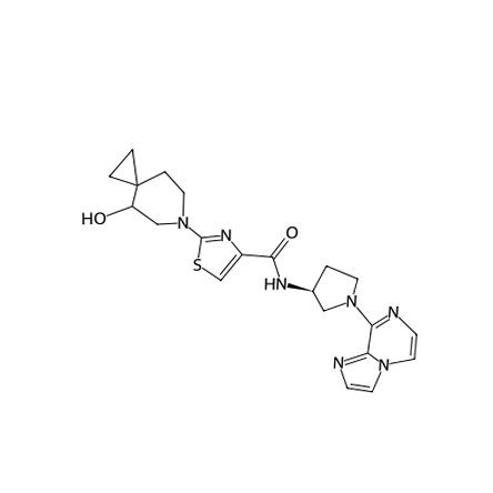 O=C(N[C@H]1CCN(c2nccn3ccnc23)C1)c1csc(N2CCC3(CC3)C(O)C2)n1